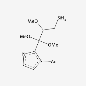 COC(C[SiH3])C(OC)(OC)c1nccn1C(C)=O